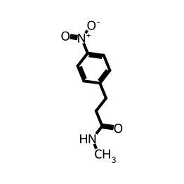 CNC(=O)CCc1ccc([N+](=O)[O-])cc1